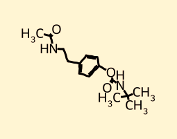 CC(=O)NCCc1ccc(OC(=O)NC(C)(C)C)cc1